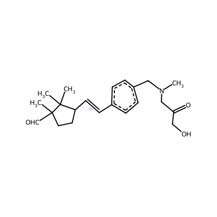 CN(CC(=O)CO)Cc1ccc(/C=C/C2CCC(C)(C=O)C2(C)C)cc1